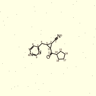 N#CC1C(Cc2ccncn2)C1C(=O)C1CCCC1